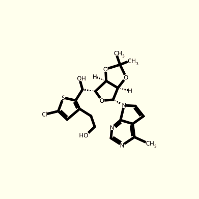 Cc1ncnc2c1ccn2[C@@H]1O[C@H](C(O)c2sc(Cl)cc2CCO)[C@H]2OC(C)(C)O[C@H]21